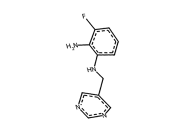 Nc1c(F)cccc1NCc1cncnc1